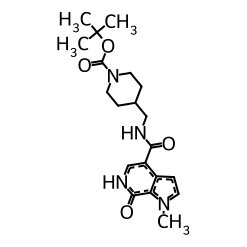 Cn1ccc2c(C(=O)NCC3CCN(C(=O)OC(C)(C)C)CC3)c[nH]c(=O)c21